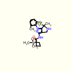 Cc1cccc(Br)c1-n1nc(NC(=O)C2([Si](C)(C)C)CCC2)c2c1C(C)(C)NC2